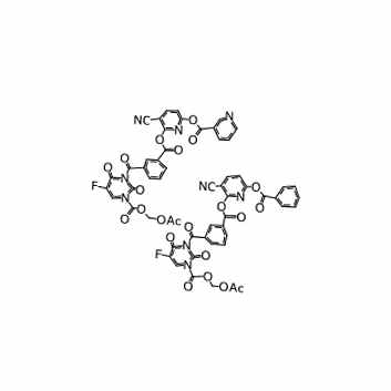 CC(=O)OCOC(=O)n1cc(F)c(=O)n(C(=O)c2cccc(C(=O)Oc3nc(OC(=O)c4ccccc4)ccc3C#N)c2)c1=O.CC(=O)OCOC(=O)n1cc(F)c(=O)n(C(=O)c2cccc(C(=O)Oc3nc(OC(=O)c4cccnc4)ccc3C#N)c2)c1=O